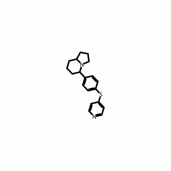 c1cc(Sc2ccc(C3CCCC4CCCN43)cc2)ccn1